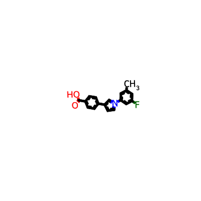 Cc1cc(F)cc(-n2ccc(-c3ccc(C(=O)O)cc3)c2)c1